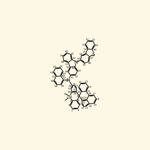 C[Si]1(C)c2ccccc2C2(c3ccccc3-c3cccc4cccc2c34)c2ccc(N(c3ccc4c(c3)c3ccccc3n4-c3ccc4sc5ccccc5c4c3)c3cccc4ccccc34)cc21